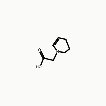 O=C(O)CN1C=CCCC1